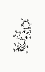 [2H]C([2H])([2H])C(C)(CC(=O)Nc1nc2ccc(C)nc2n1C1CCC1)C([2H])([2H])[2H]